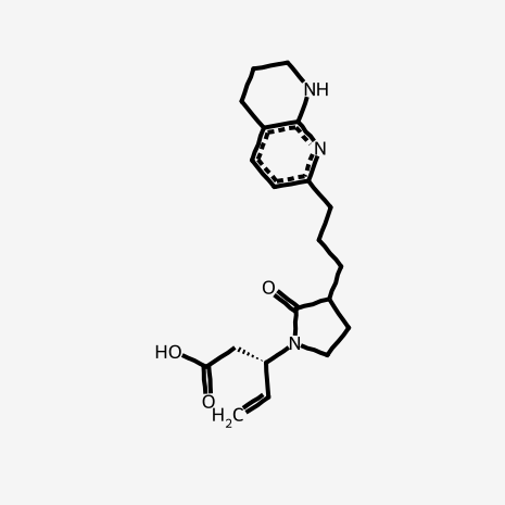 C=C[C@H](CC(=O)O)N1CCC(CCCc2ccc3c(n2)NCCC3)C1=O